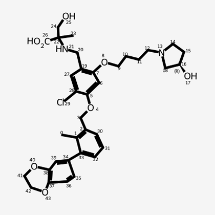 Cc1c(COc2cc(OCCCCN3CC[C@@H](O)C3)c(CNC(C)(CO)C(=O)O)cc2Cl)cccc1-c1ccc2c(c1)OCCO2